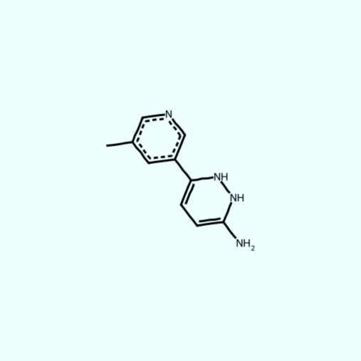 Cc1cncc(C2=CC=C(N)NN2)c1